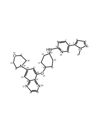 Cn1nccc1-c1ccc(NC2CCC(Oc3cc(N4CCOCC4)cc4nccnc34)CC2)nc1